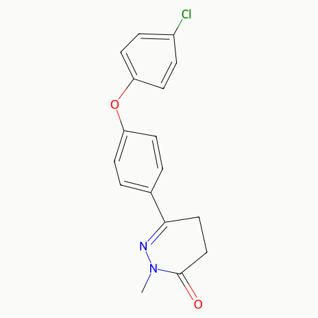 CN1N=C(c2ccc(Oc3ccc(Cl)cc3)cc2)CCC1=O